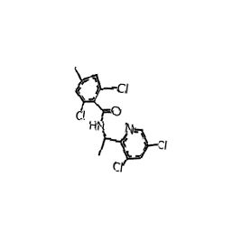 Cc1cc(Cl)c(C(=O)NC(C)c2ncc(Cl)cc2Cl)c(Cl)c1